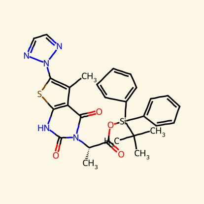 Cc1c(-n2nccn2)sc2[nH]c(=O)n([C@@H](C)C(=O)O[Si](c3ccccc3)(c3ccccc3)C(C)(C)C)c(=O)c12